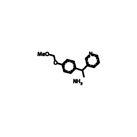 COCOc1ccc(C(C)c2cccnc2)cc1.N